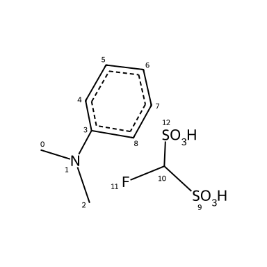 CN(C)c1ccccc1.O=S(=O)(O)C(F)S(=O)(=O)O